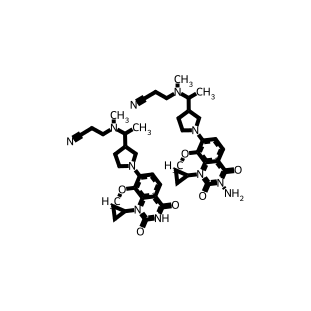 COc1c(N2CCC(C(C)N(C)CCC#N)C2)ccc2c(=O)[nH]c(=O)n(C3CC3)c12.COc1c(N2CCC(C(C)N(C)CCC#N)C2)ccc2c(=O)n(N)c(=O)n(C3CC3)c12